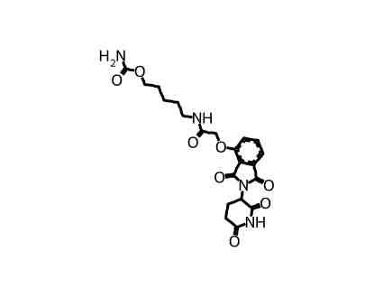 NC(=O)OCCCCCNC(=O)COc1cccc2c1C(=O)N(C1CCC(=O)NC1=O)C2=O